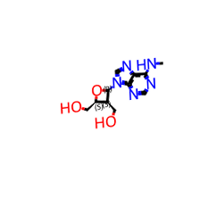 CNc1ncnc2c1ncn2[C@@H]1O[C@H](CO)[C@@H]1CO